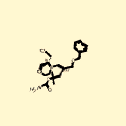 CC(C)(C[C@H](COCc1ccccc1)CN1CCOC[C@@H]1CCl)OC(N)=O